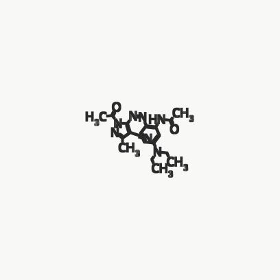 CCN(CC)c1ccc(/N=N\c2c(C#N)c(C)nn2C(C)=O)c(NC(C)=O)c1